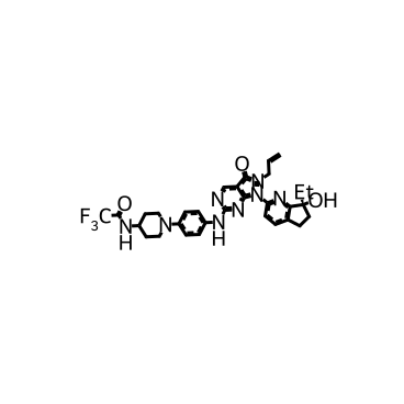 C=CCn1c(=O)c2cnc(Nc3ccc(N4CCC(NC(=O)C(F)(F)F)CC4)cc3)nc2n1-c1ccc2c(n1)[C@@](O)(CC)CC2